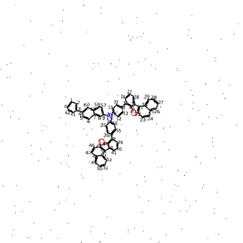 c1ccc(-c2ccc3cc(N(c4ccc(-c5cccc6c5oc5ccc7ccccc7c56)cc4)c4ccc(-c5cccc6c5oc5ccc7ccccc7c56)cc4)ccc3c2)cc1